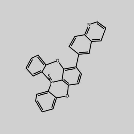 S=P12c3ccccc3Oc3ccc(-c4ccc5ncccc5c4)c(c31)Oc1ccccc12